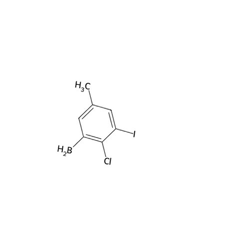 Bc1cc(C)cc(I)c1Cl